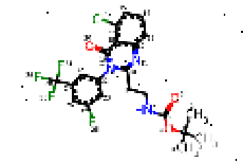 CC(C)(C)OC(=O)NCCc1nc2cccc(Cl)c2c(=O)n1-c1cc(F)cc(C(F)(F)F)c1